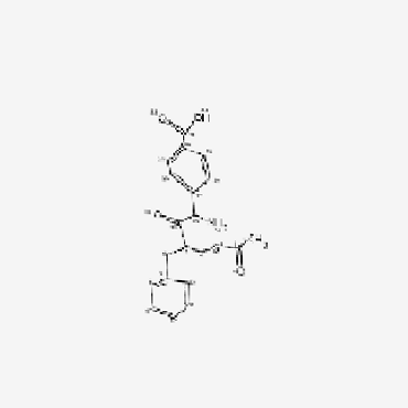 CC(=O)SCC(Cc1ccccc1)C(=O)C(N)c1ccc(C(=O)O)cc1